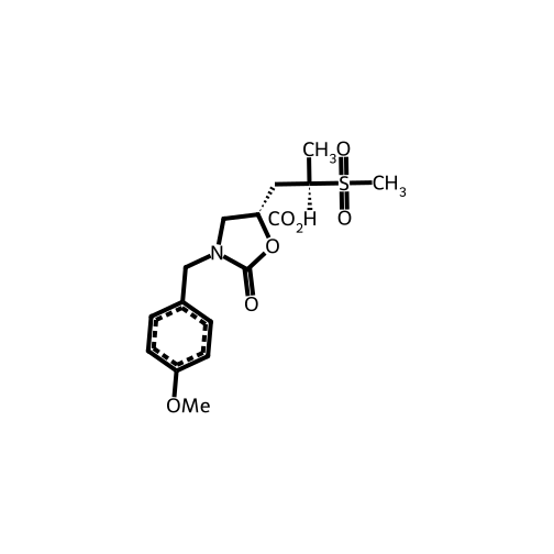 COc1ccc(CN2C[C@H](C[C@](C)(C(=O)O)S(C)(=O)=O)OC2=O)cc1